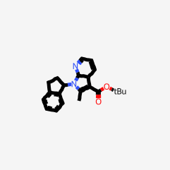 CC1=C(C(=O)OC(C)(C)C)C2C=CC=NC2N1C1CCc2ccccc21